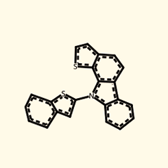 c1ccc2sc(-n3c4ccccc4c4ccc5ccsc5c43)cc2c1